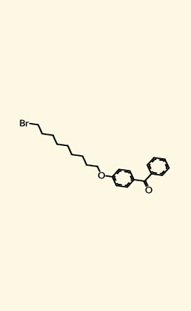 O=C(c1ccccc1)c1ccc(OCCCCCCCCCBr)cc1